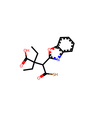 CCC(CC)(C(=O)O)C(C(=O)S)c1nc2ccccc2o1